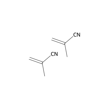 C=C(C)C#N.C=C(C)C#N